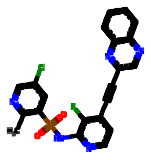 Cc1ncc(Cl)cc1S(=O)(=O)Nc1nccc(C#Cc2cnc3ccccc3n2)c1F